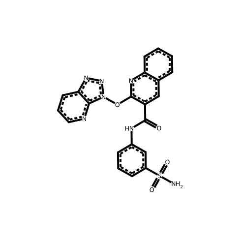 NS(=O)(=O)c1cccc(NC(=O)c2cc3ccccc3nc2On2nnc3cccnc32)c1